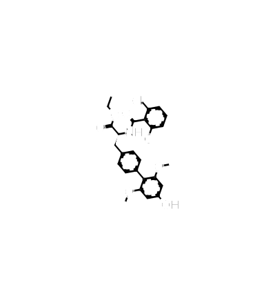 CCOC(=O)[C@H](Cc1ccc(-c2c(OC)cc(O)cc2OC)cc1)NC(=O)c1c(Cl)cccc1Cl